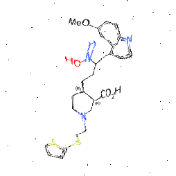 COc1ccc2nccc(C(CC[C@@H]3CCN(CCSc4cccs4)C[C@@H]3C(=O)O)NO)c2c1